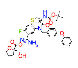 CC(C)(C)OC(=O)N[C@H]1CSc2cc(F)c(/C(N)=N/OC(=O)C3(CO)CCCO3)cc2N(Cc2ccc(Oc3ccccc3)cc2)C1=O